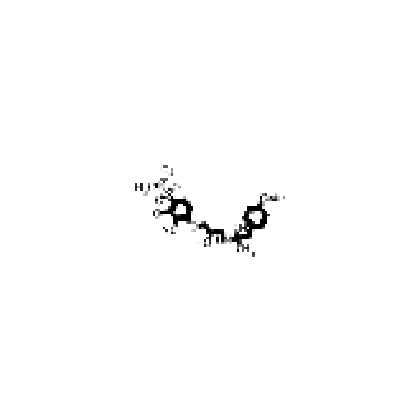 COc1ccc(CC(C)(C)NC[C@@H](O)COc2ccc(S(=O)(=O)N(C)C)c(Cl)c2C#N)cc1